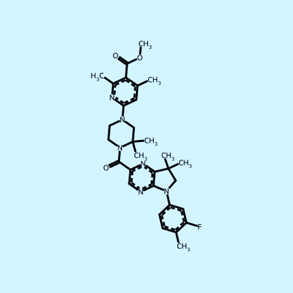 COC(=O)c1c(C)cc(N2CCN(C(=O)c3cnc4c(n3)C(C)(C)CN4c3ccc(C)c(F)c3)C(C)(C)C2)nc1C